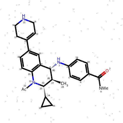 CNC(=O)c1ccc(N[C@H]2c3cc(C4=CCNCC4)ccc3N(C(C)=O)[C@@H](C3CC3)[C@@H]2C)cc1